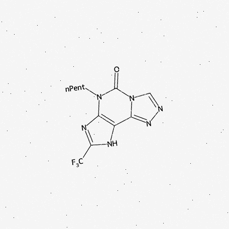 CCCCCn1c(=O)n2cnnc2c2[nH]c(C(F)(F)F)nc21